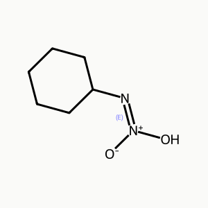 [O-]/[N+](O)=N\C1CCCCC1